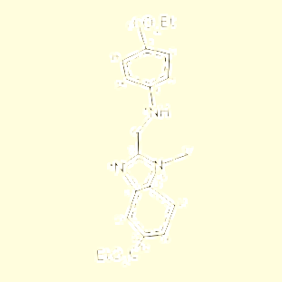 CCOC(=O)c1ccc(NCc2nc3cc(C(=O)OCC)ccc3n2C)cc1